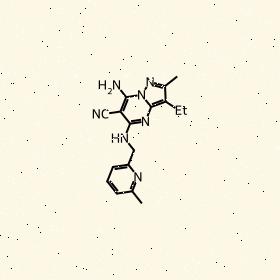 CCc1c(C)nn2c(N)c(C#N)c(NCc3cccc(C)n3)nc12